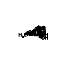 Cc1cccc(CN(CCCNCC(O)c2ccc(O)c3[nH]c(=O)ccc23)C(=O)c2ccc(COc3cccc([C@@H](NC(=O)O)c4ccccc4)c3)cc2)c1